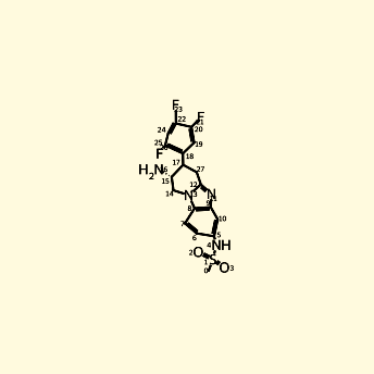 CS(=O)(=O)Nc1ccc2c(c1)nc1n2C[C@H](N)C(c2cc(F)c(F)cc2F)C1